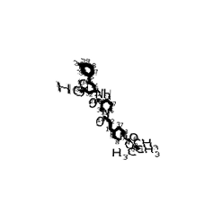 CC(C)(C)OC(=O)N1CCC(/C=C/C(=O)N2CCC[C@@H](C(=O)NC(CCc3ccccc3)CC(=O)O)C2)CC1